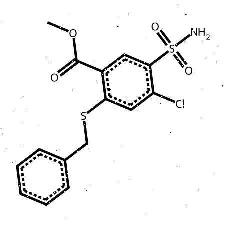 COC(=O)c1cc(S(N)(=O)=O)c(Cl)cc1SCc1ccccc1